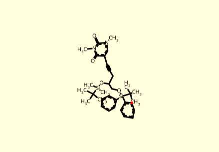 Cn1cc(C#CCC(CO[Si](c2ccccc2)(c2ccccc2)C(C)(C)C)O[Si](C)(C)C(C)(C)C)c(=O)n(C)c1=O